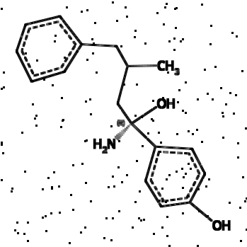 CC(Cc1ccccc1)C[C@@](N)(O)c1ccc(O)cc1